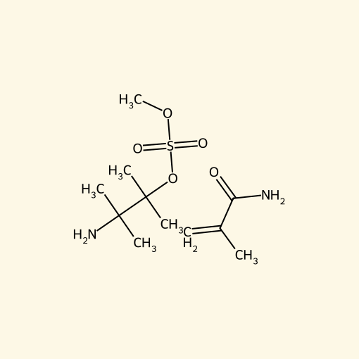 C=C(C)C(N)=O.COS(=O)(=O)OC(C)(C)C(C)(C)N